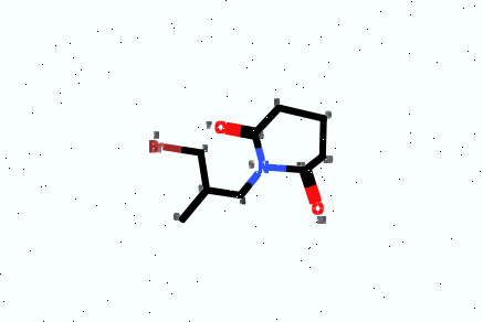 CC(CBr)CN1C(=O)CCCC1=O